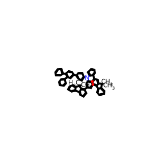 CC1(C)c2ccccc2-c2ccc(-c3ccccc3N(c3ccc(-c4ccc(-c5ccccc5)c(-c5ccccc5)c4)cc3)c3cccc(-c4cccc5c4C(C)(C)c4ccccc4-5)c3)cc21